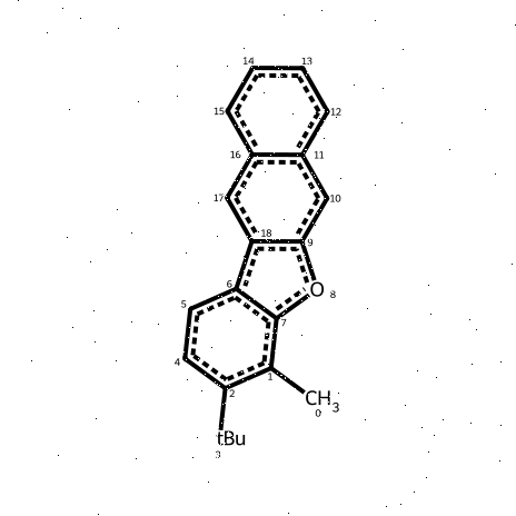 Cc1c(C(C)(C)C)ccc2c1oc1cc3ccccc3cc12